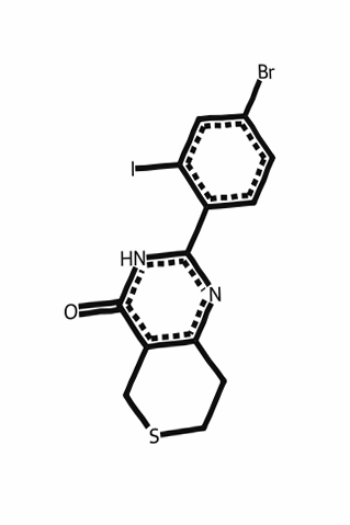 O=c1[nH]c(-c2ccc(Br)cc2I)nc2c1CSCC2